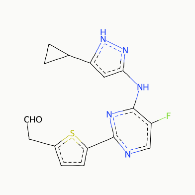 O=CCc1ccc(-c2ncc(F)c(Nc3cc(C4CC4)[nH]n3)n2)s1